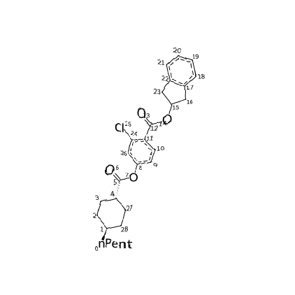 CCCCC[C@H]1CC[C@H](C(=O)Oc2ccc(C(=O)OC3Cc4ccccc4C3)c(Cl)c2)CC1